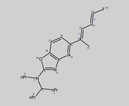 CCCC(CCC)N(CCC)c1nc2nc(/C(C)=C/C=C/F)ccc2o1